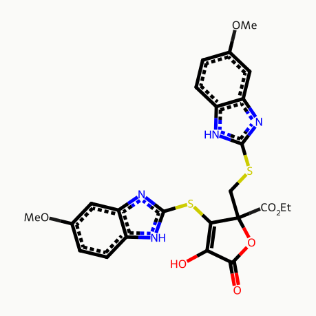 CCOC(=O)C1(CSc2nc3cc(OC)ccc3[nH]2)OC(=O)C(O)=C1Sc1nc2cc(OC)ccc2[nH]1